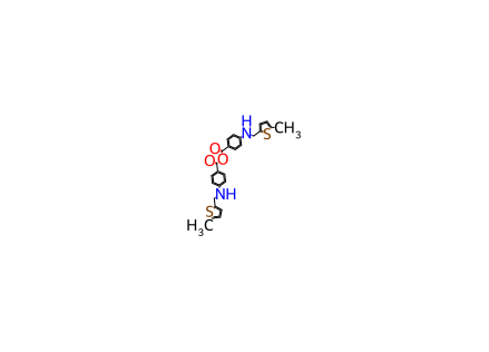 Cc1ccc(CNc2ccc(C(=O)OC(=O)c3ccc(NCc4ccc(C)s4)cc3)cc2)s1